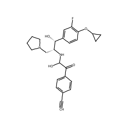 C#Cc1ccc(C(=O)C(O)N[C@H](CN2CCCC2)[C@H](O)c2ccc(OC3CC3)c(F)c2)cc1